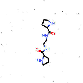 O=C(NCCNC(=O)C1CCCN1)C1CCCN1